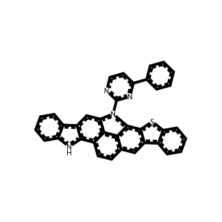 c1ccc(-c2ccnc(-n3c4cc5c6ccccc6[nH]c5c5ccc6cc7c8ccccc8sc7c3c6c54)n2)cc1